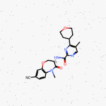 Cc1cnc(C(=O)N[C@H]2COc3cc(C#N)ccc3N(C)C2=O)nc1C1CCOCC1